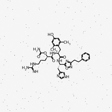 Cc1cc(O)cc(C)c1C[C@H](NC(=O)[C@@H](CCCNC(=N)N)OC(N)=O)C(=O)N[C@@H](Cc1c[nH]cn1)c1nc(CCc2ccccc2)no1